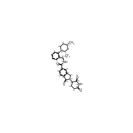 CN1CCN(c2ccccc2[C@@H](NC(=O)c2ccc3c(c2)CN(C2CCC(=O)NC2=O)C3=O)C(F)(F)F)CC1